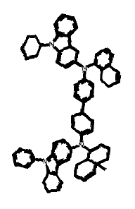 CC12C=CCCC1C(N(C1=CCC(c3ccc(N(C4=CC=C5C(C4)c4ccccc4N5C4CCCCC4)c4cccc5c4CCC=C5)cc3)C=C1)c1ccc3c(c1)c1c(n3-c3ccccc3)CCC=C1)=CCC2